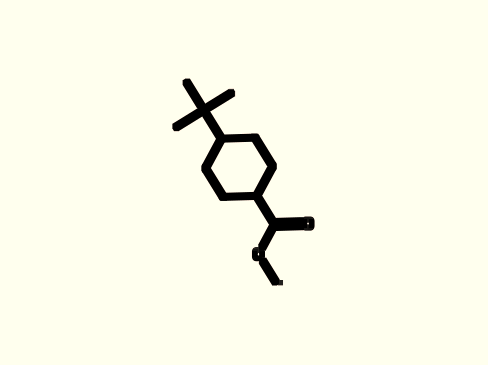 [CH2]OC(=O)C1CCC(C(C)(C)C)CC1